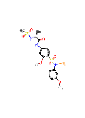 CCOc1cc(NC(=O)[C@@H](NS(C)(=O)=O)C(C)CC)ccc1S(=O)(=O)N(P)c1cccc(OC(F)(F)F)c1